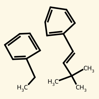 CC(C)(C)C=Cc1ccccc1.CCc1ccccc1